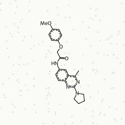 COc1ccc(OCC(=O)Nc2ccc3nc(N4CCCC4)nc(C)c3c2)cc1